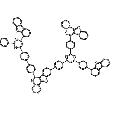 c1ccc(-c2nc(-c3ccc(-c4ccc(-c5nc6ccccc6c6oc7cc(-c8ccc(-c9cc(-c%10ccc(-c%11cccc%12c%11sc%11ccccc%11%12)cc%10)nc(-c%10ccc(-c%11nc%12ccccc%12c%12oc%13ccccc%13c%11%12)cc%10)n9)cc8)ccc7c56)cc4)cc3)cc(-c3cccc4c3sc3ccccc34)n2)cc1